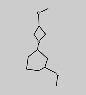 COC1CCCC(N2CC(OC)C2)C1